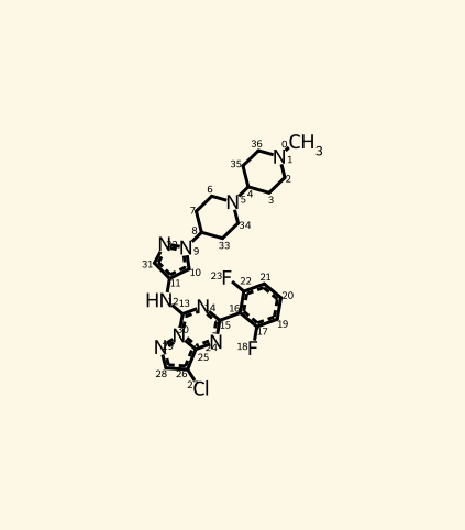 CN1CCC(N2CCC(n3cc(Nc4nc(-c5c(F)cccc5F)nc5c(Cl)cnn45)cn3)CC2)CC1